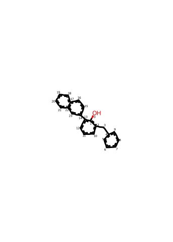 Oc1c(Cc2ccccc2)cccc1-c1ccc2ccccc2c1